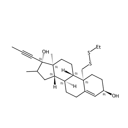 CC#C[C@]1(O)C(C)C[C@H]2[C@@H]3CCC4=C[C@H](O)CC[C@]4(CSSCC)[C@H]3CC[C@@]21C